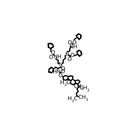 CC(C)CCCC(C)C1CCC2C3CC=C4CC(OC(=O)NC(Cc5ccccc5)C(=O)N(CCCCN(CCCNC(=O)OCc5ccccc5)C(=O)OCc5ccccc5)CCCNC(=O)OCc5ccccc5)CCC4(C)C3CCC12C